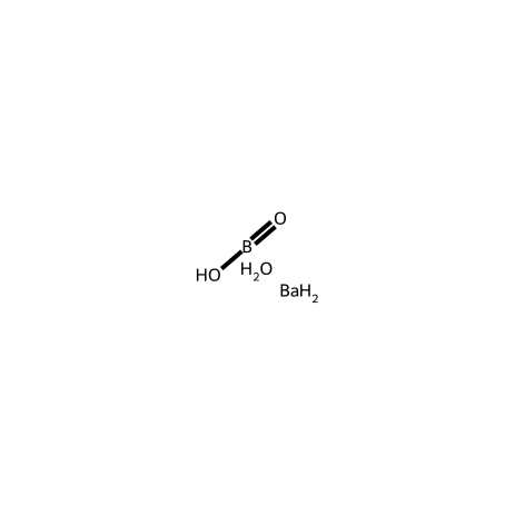 O.O=BO.[BaH2]